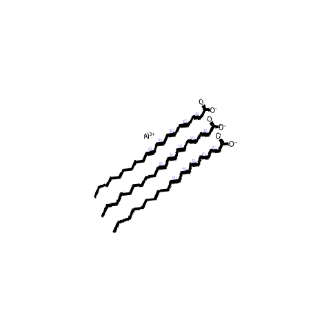 CCCCCCCCC/C=C/C=C/C=C/C=C/C=C/C(=O)[O-].CCCCCCCCC/C=C/C=C/C=C/C=C/C=C/C(=O)[O-].CCCCCCCCC/C=C/C=C/C=C/C=C/C=C/C(=O)[O-].[Al+3]